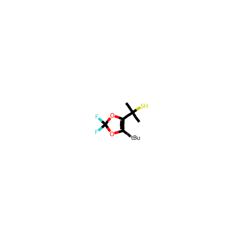 CC(C)(C)C1=C(C(C)(C)S)OC(F)(F)O1